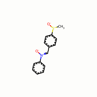 C[S+]([O-])c1ccc(C=[N+]([O-])c2ccccc2)cc1